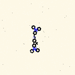 CC1(C)c2cc(/C=C/c3ccc(N(c4ccccc4)c4ccccc4)cc3)ccc2-c2ccc(N(C3=CCCCC3)c3ccccc3)cc21